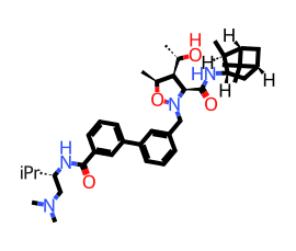 CC(C)[C@@H](CN(C)C)NC(=O)c1cccc(-c2cccc(CN3O[C@@H](C)[C@@H]([C@H](C)O)[C@H]3C(=O)N[C@H]3C[C@H]4C[C@@H]([C@@H]3C)C4(C)C)c2)c1